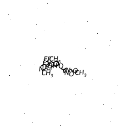 COC(=O)Cn1cc(COc2ccc(C(C)C(O)(c3ccnc(C)c3)C(F)(F)F)c(Cl)c2)cn1